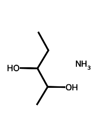 CCC(O)C(C)O.N